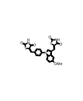 COc1ccc2c(c1)c(C=C1SC(=O)NC1=O)cn2-c1ccc(C=C2SC(=O)NC2=O)cc1